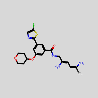 N/C(=C\C=C(/N)C(F)(F)F)CNC(=O)c1cc(OC2CCOCC2)cc(-c2ncc(Cl)s2)c1